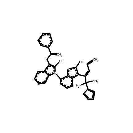 C=C/C=C(\c1c(C)oc2c(-n3c(C)c(CC(=C)c4ccccc4)c4ccccc43)cccc12)C(N)(N)C1=C=CC=C1